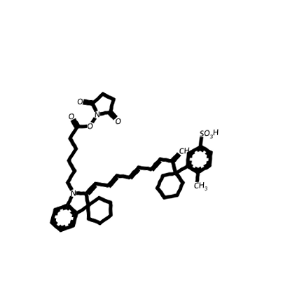 C=C(/C=C/C=C/C=C/C=C1/N(CCCCCC(=O)ON2C(=O)CCC2=O)c2ccccc2C12CCCCC2)C1(c2cc(S(=O)(=O)O)ccc2C)CCCCC1